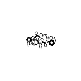 Cc1ccccc1NC(=O)C(=O)N[C@@H](CC(C)(C)C)C(=O)N[C@@H](C[C@@H]1CCNC1=O)C(=O)COC(F)(F)F